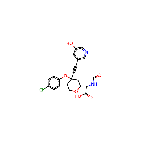 O=CNCC(=O)O.Oc1cncc(C#CC2(Oc3ccc(Cl)cc3)CCOCC2)c1